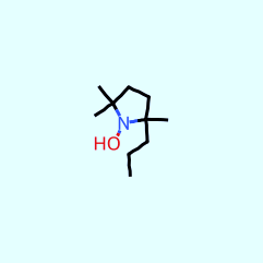 CCCC1(C)CCC(C)(C)N1O